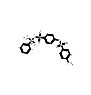 Cc1ccc(S(=O)(=O)Oc2ccc(S(=O)(=O)OS(C)(C)c3ccccc3)cc2)cc1